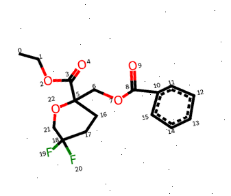 CCOC(=O)C1(COC(=O)c2ccccc2)CCC(F)(F)CO1